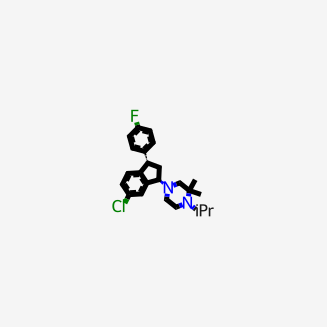 CC(C)N1CCN([C@@H]2C[C@@H](c3ccc(F)cc3)c3ccc(Cl)cc32)CC1(C)C